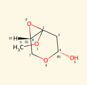 COC12C[C@H](O)OC[C@@H]1O2